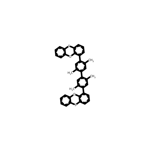 Cc1cc(-c2cccc3c2Oc2ccccc2S3)c(C)cc1-c1cc(C)c(-c2cccc3c2Oc2ccccc2S3)cc1C